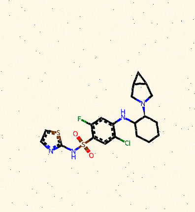 O=S(=O)(Nc1nccs1)c1cc(Cl)c(NC2CCCC[C@@H]2N2CC3CC3C2)cc1F